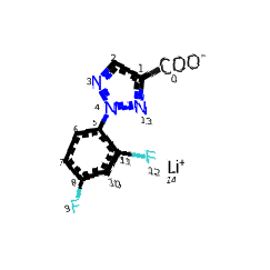 O=C([O-])c1cnn(-c2ccc(F)cc2F)n1.[Li+]